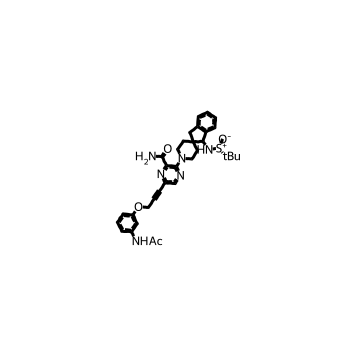 CC(=O)Nc1cccc(OCC#Cc2cnc(N3CCC4(CC3)Cc3ccccc3C4N[S+]([O-])C(C)(C)C)c(C(N)=O)n2)c1